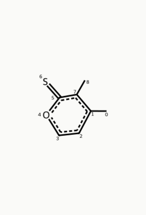 Cc1ccoc(=S)c1C